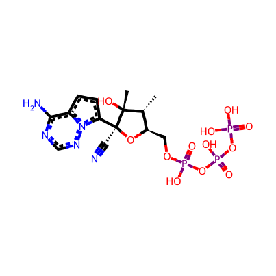 C[C@@H]1[C@@H](COP(=O)(O)OP(=O)(O)OP(=O)(O)O)O[C@@](C#N)(c2ccc3c(N)ncnn23)[C@]1(C)O